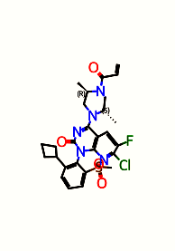 C=CC(=O)N1C[C@H](C)N(c2nc(=O)n(-c3c(C4CCC4)cccc3S(C)(=O)=O)c3nc(Cl)c(F)cc23)C[C@H]1C